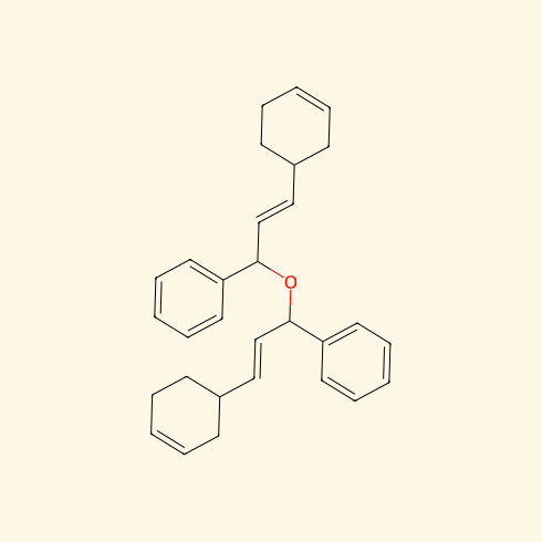 C1=CCC(C=CC(OC(C=CC2CC=CCC2)c2ccccc2)c2ccccc2)CC1